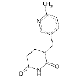 Cc1ccc(CC2CCC(=O)NC2=O)cn1